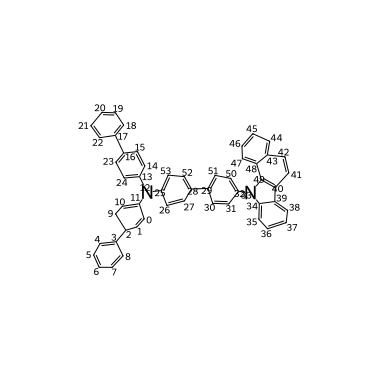 C1=CC(c2ccccc2)CC=C1N(c1ccc(-c2ccccc2)cc1)c1ccc(-c2ccc(-n3c4ccccc4c4ccc5ccccc5c43)cc2)cc1